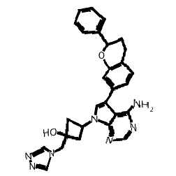 Nc1ncnc2c1c(-c1ccc3c(c1)OC(c1ccccc1)CC3)cn2C1CC(O)(Cn2cnnc2)C1